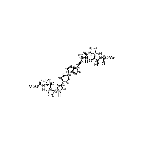 COC(=O)N[C@H](C(=O)N1CCC[C@H]1c1nc(-c2ccc(-c3csc4c(C#Cc5cnc([C@@H]6CCCN6C(=O)[C@@H](NC(=O)OC)C(C)C)[nH]5)csc34)cc2)c[nH]1)C(C)C